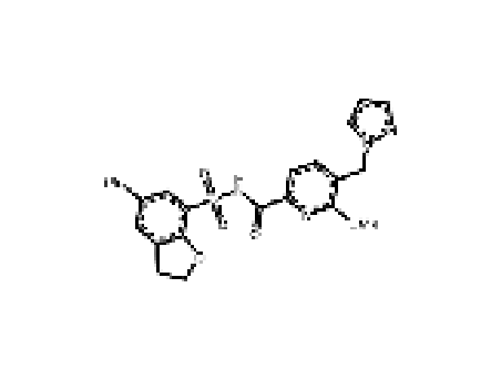 COc1nc(C(=O)NS(=O)(=O)c2cc(C(C)(C)C)cc3c2OCC3)ccc1Cn1cccn1